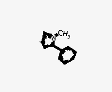 Cn1c[c]cc1-c1ccccc1